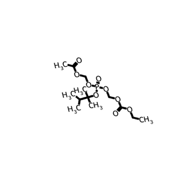 CCOC(=O)OCOP(=O)(OCOC(C)=O)OC(C)(C)C(C)C